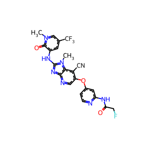 Cn1cc(C(F)(F)F)cc(Nc2nc3ncc(Oc4ccnc(NC(=O)CF)c4)c(C#N)c3n2C)c1=O